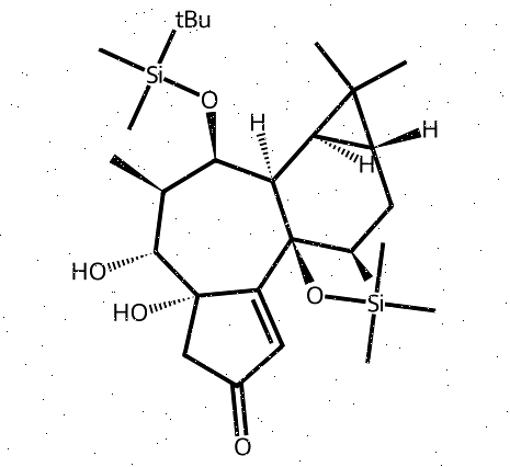 C[C@H]1[C@@H](O[Si](C)(C)C(C)(C)C)[C@H]2[C@@H]3[C@@H](C[C@@H](C)[C@]2(O[Si](C)(C)C)C2=CC(=O)C[C@@]2(O)[C@@H]1O)C3(C)C